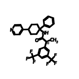 C[C@H](C(=O)NC1(c2ccccc2)CCC(c2ccncc2)CC1)c1cc(C(F)(F)F)cc(C(F)(F)F)c1